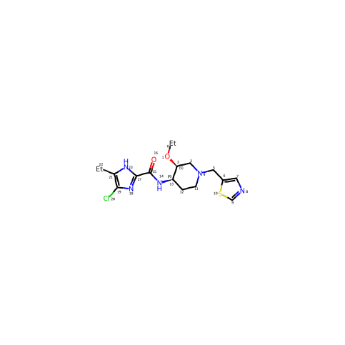 CCO[C@H]1CN(Cc2cncs2)CC[C@H]1NC(=O)c1nc(Cl)c(CC)[nH]1